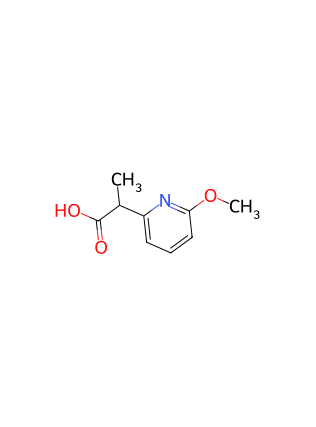 COc1cccc(C(C)C(=O)O)n1